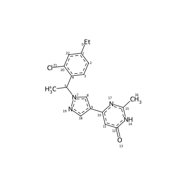 CCc1ccc(C(C)n2cc(-c3cc(=O)[nH]c(C)n3)cn2)c(Cl)c1